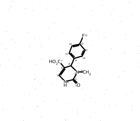 CN1C(=O)NC=C(C(=O)O)C1c1ccc(F)cc1